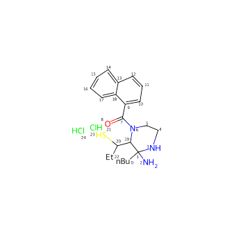 CCCCC1(N)NCCN(C(=O)c2cccc3ccccc23)C1C(S)CC.Cl.Cl